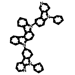 c1ccc(-n2c3ccncc3c3cc(-n4c5ccccc5c5c6c7ccccc7n(-c7ccc8c(c7)c7cccnc7n8-c7ccccc7)c6ccc54)ccc32)cc1